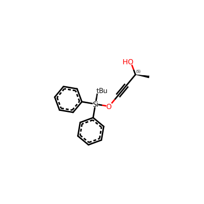 C[C@H](O)C#CO[Si](c1ccccc1)(c1ccccc1)C(C)(C)C